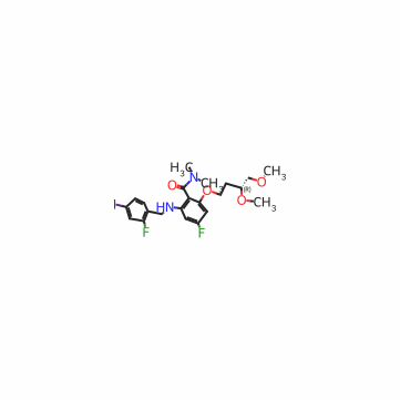 COC[C@@H](CCOc1cc(F)cc(NCc2ccc(I)cc2F)c1C(=O)N(C)C)OC